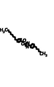 CCCCCCCCCc1ccc(C(=O)Oc2cnc(-c3ccc(CCCCCC)cc3)nc2)cc1